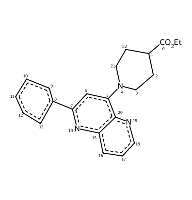 CCOC(=O)C1CCN(c2cc(-c3ccccc3)nc3cccnc23)CC1